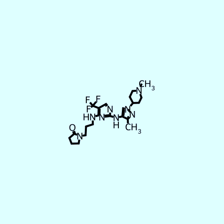 Cc1nn(C2CCN(C)CC2)cc1Nc1ncc(C(F)(F)F)c(NCCCN2CCCC2=O)n1